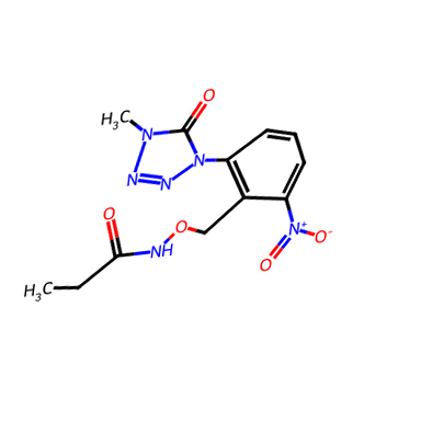 CCC(=O)NOCc1c(-n2nnn(C)c2=O)cccc1[N+](=O)[O-]